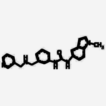 Cn1ccc2cc(NC(=O)Nc3cccc(CNCc4cccnc4)c3)ccc21